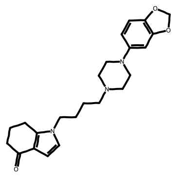 O=C1CCCc2c1ccn2CCCCN1CCN(c2ccc3c(c2)OCO3)CC1